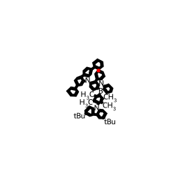 Cc1c(C)c(-n2c3ccc(C(C)(C)C)cc3c3cc(C(C)(C)C)ccc32)c(C)c(C)c1B1c2ccccc2-n2c3ccccc3c3c(-n4c5cc(-c6ccccc6)ccc5c5ccc(-c6ccccc6)cc54)ccc1c32